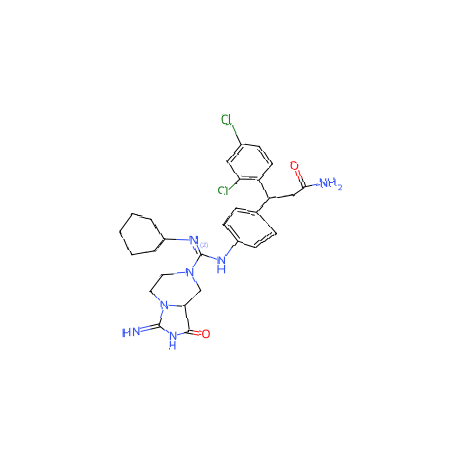 N=C1NC(=O)C2CN(/C(=N\C3CCCCC3)Nc3ccc(C(CC(N)=O)c4ccc(Cl)cc4Cl)cc3)CCN12